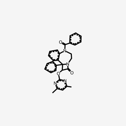 Cc1cc(C)nc(OC2C(=O)N3CCN(C(=O)c4ccccc4)c4ccccc4C23c2ccccc2)n1